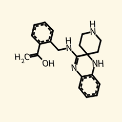 C=C(O)c1ccccc1CNC1=Nc2ccccc2NC12CCNCC2